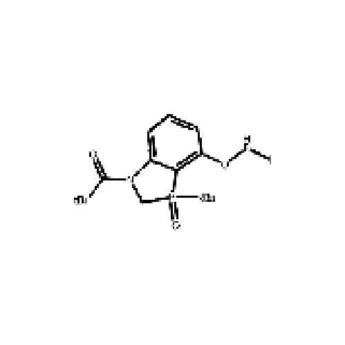 CC(C)(C)C(=O)N1CP(=O)(C(C)(C)C)c2c(OPI)cccc21